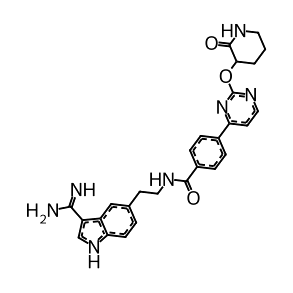 N=C(N)c1c[nH]c2ccc(CCNC(=O)c3ccc(-c4ccnc(OC5CCCNC5=O)n4)cc3)cc12